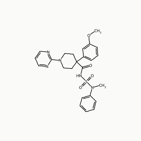 COc1cccc(C2(C(=O)NS(=O)(=O)N(C)c3ccccc3)CCN(c3ncccn3)CC2)c1